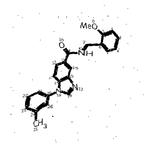 COc1ccccc1CNC(=O)c1ccc2c(c1)ncn2-c1cccc(C)c1